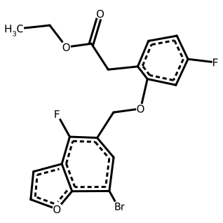 CCOC(=O)Cc1ccc(F)cc1OCc1cc(Br)c2occc2c1F